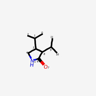 CC(C)C1CNC(=O)C1C(C)C